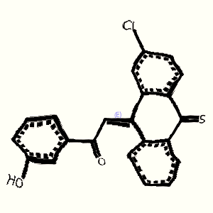 O=C(/C=C1\c2ccccc2C(=S)c2ccc(Cl)cc21)c1cccc(O)c1